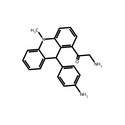 CN1c2ccccc2C(c2ccc(N)cc2)c2c(C(=O)CN)cccc21